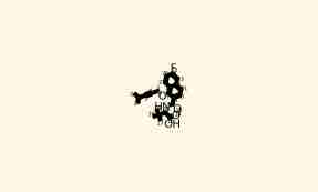 CC(C)C#CCOc1c(C(=O)NC(C(=O)O)C(C)(C)C)ccc2cc(F)ccc12